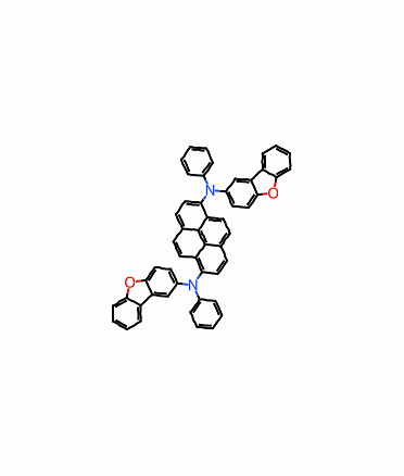 c1ccc(N(c2ccc3oc4ccccc4c3c2)c2ccc3ccc4c(N(c5ccccc5)c5ccc6oc7ccccc7c6c5)ccc5ccc2c3c54)cc1